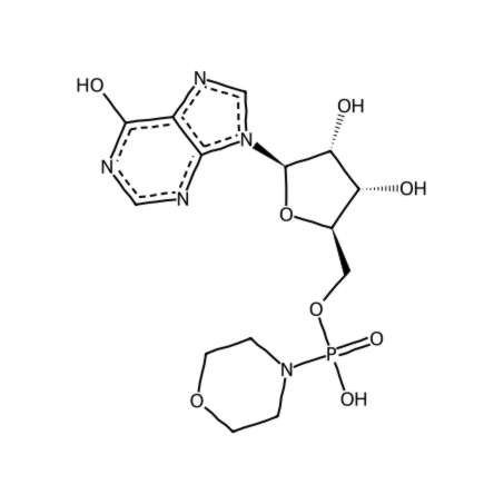 O=P(O)(OC[C@H]1O[C@@H](n2cnc3c(O)ncnc32)[C@H](O)[C@@H]1O)N1CCOCC1